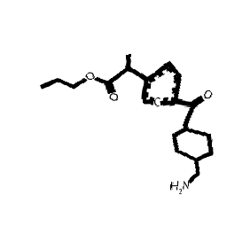 CCCOC(=O)C(C)c1ccc(C(=O)C2CCC(CN)CC2)cc1